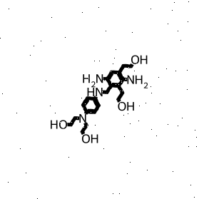 Nc1cc(CCO)c(N)c(CCO)c1CNc1ccc(N(CCO)CCO)cc1